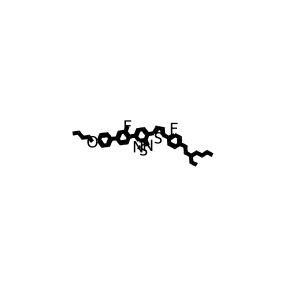 CCCCOc1ccc(-c2ccc(-c3ccc(-c4ccc(-c5ccc(CCC(CC)CCCC)cc5F)s4)c4nsnc34)c(F)c2)cc1